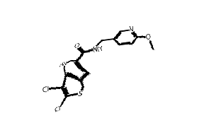 COc1ccc(CNC(=O)c2cc3sc(Cl)c(Cl)c3[nH]2)cn1